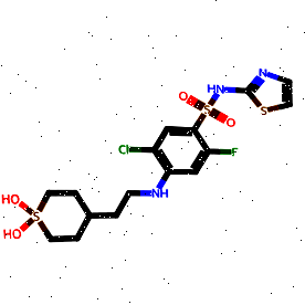 O=S(=O)(Nc1nccs1)c1cc(Cl)c(NCCC2CCS(O)(O)CC2)cc1F